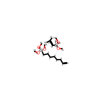 C=CCCCCCC[Si](OC)(OC)OC.CO[SiH](C=C(C)C)OC